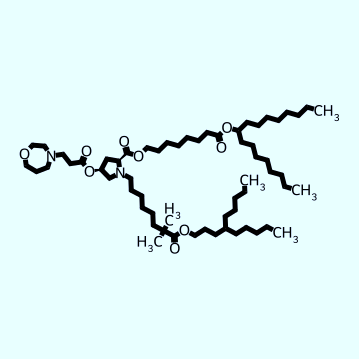 CCCCCCCCC(CCCCCCCC)OC(=O)CCCCCCCOC(=O)[C@@H]1C[C@H](OC(=O)CCN2CCCOCC2)CN1CCCCCCC(C)(C)C(=O)OCCCC(CCCCC)CCCCC